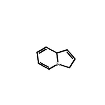 C1=CC2C=CCN2C=C1